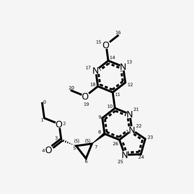 CCOC(=O)[C@H]1C[C@@H]1c1cc(-c2cnc(OC)nc2OC)nn2ccnc12